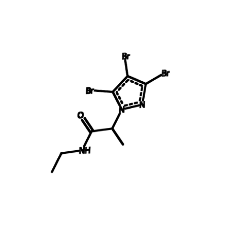 CCNC(=O)C(C)n1nc(Br)c(Br)c1Br